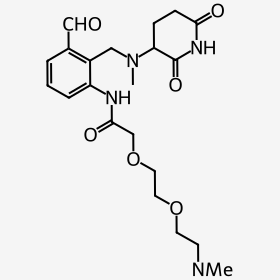 CNCCOCCOCC(=O)Nc1cccc(C=O)c1CN(C)C1CCC(=O)NC1=O